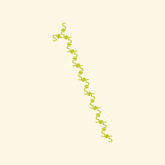 S=S=S=S=S=S=S=S=S=S=S=S=S=S=S=S(=S)=S